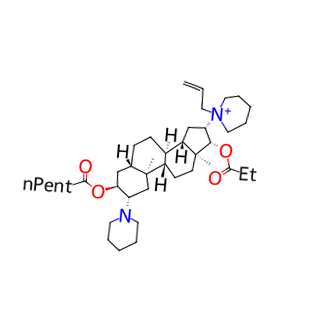 C=CC[N+]1([C@H]2C[C@H]3[C@@H]4CC[C@H]5C[C@H](OC(=O)CCCCC)[C@@H](N6CCCCC6)C[C@]5(C)[C@H]4CC[C@]3(C)[C@H]2OC(=O)CC)CCCCC1